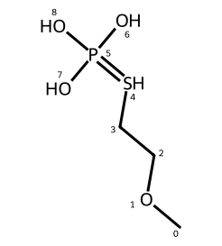 COCC[SH]=P(O)(O)O